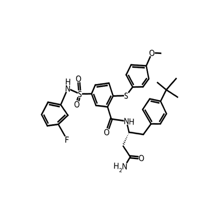 COc1ccc(Sc2ccc(S(=O)(=O)Nc3cccc(F)c3)cc2C(=O)N[C@@H](CC(N)=O)Cc2ccc(C(C)(C)C)cc2)cc1